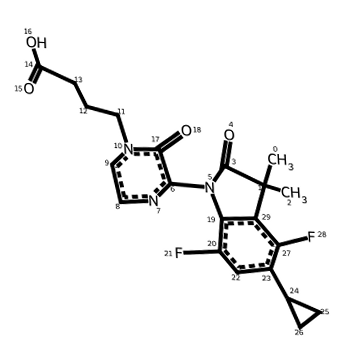 CC1(C)C(=O)N(c2nccn(CCCC(=O)O)c2=O)c2c(F)cc(C3CC3)c(F)c21